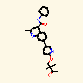 CC(=O)C(C)(C)COc1ccc(-c2ccc3c(C(=O)Nc4ccccc4)cc(C)nc3c2)cn1